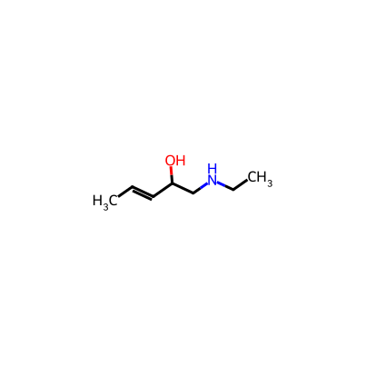 CC=CC(O)CNCC